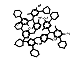 Cc1cc(O)c(C2CCCCC2)cc1C(c1cc(C2CCCCC2)c(O)cc1C)c1cc(Cc2cc(C3(c4cc(Cc5ccc(O)c(C(c6cc(C7CCCCC7)c(O)cc6C)c6cc(C7CCCCC7)c(O)cc6C)c5)c(O)c(C5CCCCC5)c4)CCCCC3)cc(C3CCCCC3)c2O)ccc1O